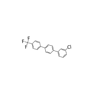 FC(F)(F)c1ccc(-c2ccc(-c3cccc(Cl)c3)cc2)cc1